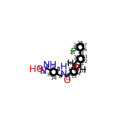 NC(=NO)c1ccc(CNC(=O)c2ccc3c(c2)[C@@H]2O[C@H]3c3ccc(-c4ccccc4F)cc32)cc1